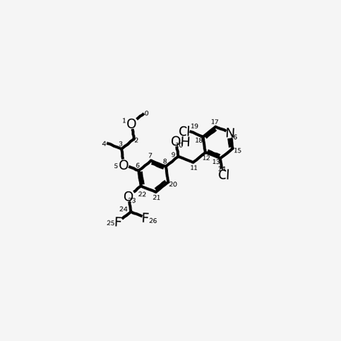 COCC(C)Oc1cc(C(O)Cc2c(Cl)cncc2Cl)ccc1OC(F)F